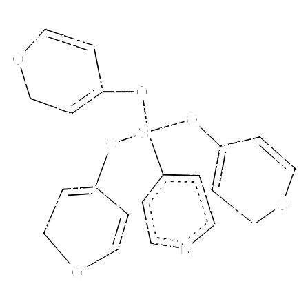 C1=CC(O[Si](OC2=CCOC=C2)(OC2=CCOC=C2)c2ccncc2)=CCO1